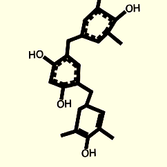 CC1=CC(Cc2cc(Cc3cc(C)c(O)c(C)c3)c(O)cc2O)CC(C)=C1O